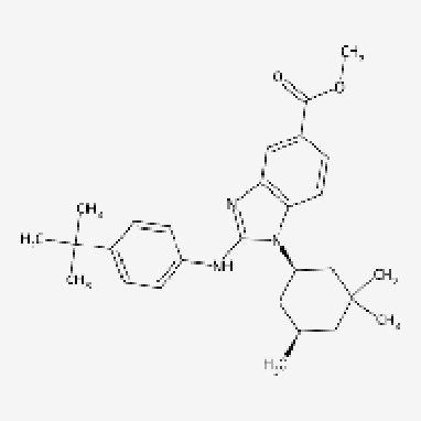 COC(=O)c1ccc2c(c1)nc(Nc1ccc(C(C)(C)C)cc1)n2[C@@H]1C[C@H](C)CC(C)(C)C1